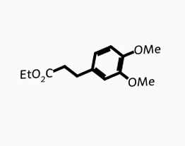 CCOC(=O)CCc1ccc(OC)c(OC)c1